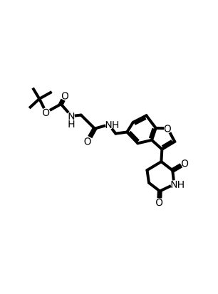 CC(C)(C)OC(=O)NCC(=O)NCc1ccc2occ(C3CCC(=O)NC3=O)c2c1